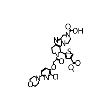 COC(=O)c1csc(C2c3c(nc4n3CCN(C(=O)O)C4)CCN2C(=O)COc2ccc(N3CCOCC3)nc2Cl)c1